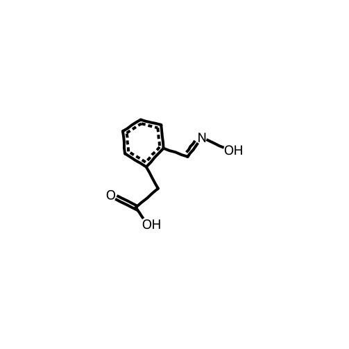 O=C(O)Cc1ccccc1C=NO